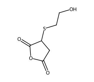 O=C1CC(SCCO)C(=O)O1